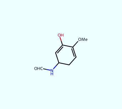 COC1=CCC(NC=O)C=C1O